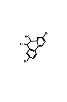 OC1c2cc(Br)ccc2-c2ccc(Br)cc2C1O